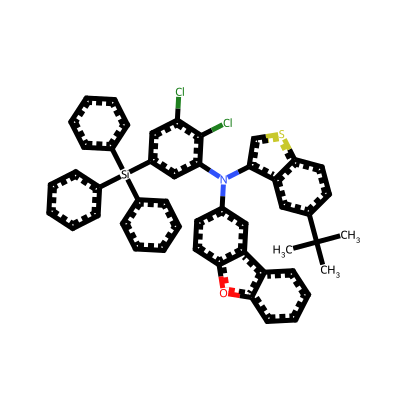 CC(C)(C)c1ccc2scc(N(c3ccc4oc5ccccc5c4c3)c3cc([Si](c4ccccc4)(c4ccccc4)c4ccccc4)cc(Cl)c3Cl)c2c1